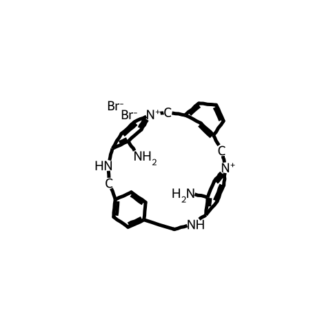 Nc1c[n+]2ccc1NCc1ccc(cc1)CNc1cc[n+](cc1N)Cc1cccc(c1)C2.[Br-].[Br-]